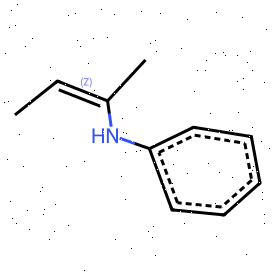 C/C=C(/C)Nc1ccccc1